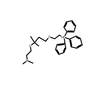 CN(C)CCOC(C)(C)CCOCC[PH](c1ccccc1)(c1ccccc1)c1ccccc1